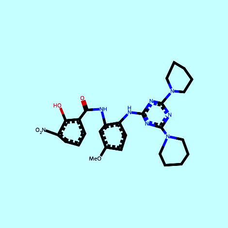 COc1ccc(Nc2nc(N3CCCCC3)nc(N3CCCCC3)n2)c(NC(=O)c2cccc([N+](=O)[O-])c2O)c1